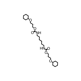 O=C(NCCCCCCNC(=O)OC[CH]COC1CCCCC1)OC[CH]COC1CCCCC1